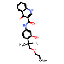 COCCOCC(C)(C)c1ccc(NC(=O)c2c[nH]c3ccccc3c2=O)cc1O